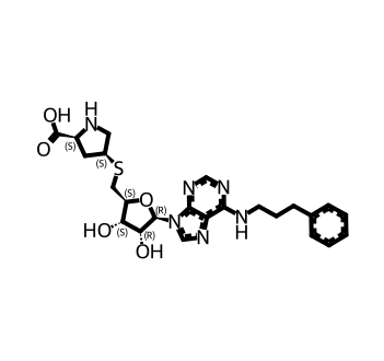 O=C(O)[C@@H]1C[C@H](SC[C@H]2O[C@@H](n3cnc4c(NCCCc5ccccc5)ncnc43)[C@H](O)[C@@H]2O)CN1